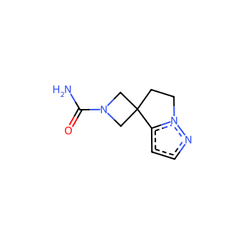 NC(=O)N1CC2(CCn3nccc32)C1